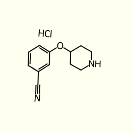 Cl.N#Cc1cccc(OC2CCNCC2)c1